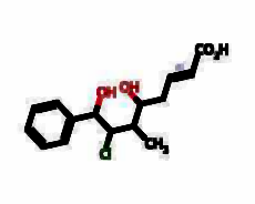 CC(C(O)C/C=C/C(=O)O)C(Cl)C(O)c1ccccc1